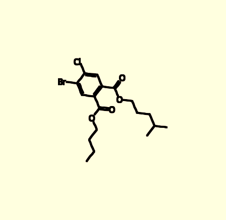 CCCCOC(=O)c1cc(Br)c(Cl)cc1C(=O)OCCCC(C)C